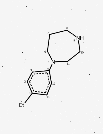 CCc1ccc(N2CCCNCC2)cc1